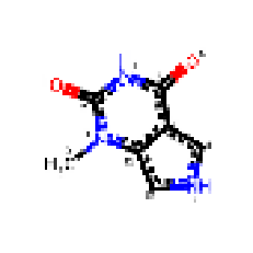 Cn1c(=O)[nH]c(=O)c2c[nH]cc21